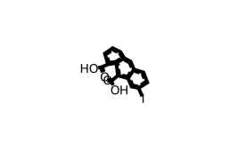 O=C(O)c1cccc2cc3ccc(I)cc3c(C(=O)O)c12